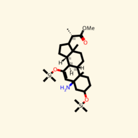 COC(=O)[C@@H](C)C1CC[C@H]2[C@@H]3C(O[Si](C)(C)C)=CC4(N)CC(O[Si](C)(C)C)CCC4(C)[C@H]3CCC12C